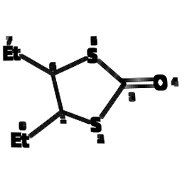 CCC1SC(=O)SC1CC